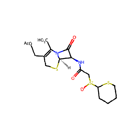 CC(=O)OCC1=C(C(=O)O)N2C(=O)[C@@H](NC(=O)C[S+]([O-])C3CCCCS3)[C@H]2SC1